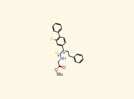 C[C@@H](NCC(=O)OC(C)(C)C)[C@H](CCc1ccccc1)c1ccc(-c2ccccc2)c(F)c1